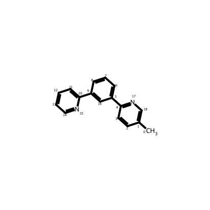 Cc1ccc(-c2cccc(-c3ccccn3)c2)nc1